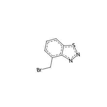 BrCc1cccc2snnc12